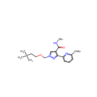 COc1cccc(-c2nn(COCC[Si](C)(C)C)cc2C(=O)NC(C)(C)C)n1